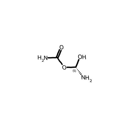 NC(=O)O[C@@H](N)O